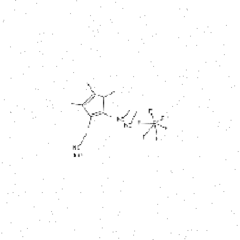 CC#N.CC#N.CC#N.CC1=C(C)C(C)C(C)=C1C.F[P-](F)(F)(F)(F)F.[Ru+]